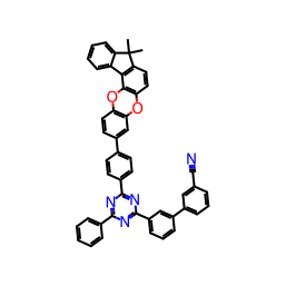 CC1(C)c2ccccc2-c2c1ccc1c2Oc2ccc(-c3ccc(-c4nc(-c5ccccc5)nc(-c5cccc(-c6cccc(C#N)c6)c5)n4)cc3)cc2O1